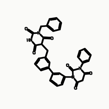 O=C1NC(=O)N(Cc2ccccc2)C(=O)C1Cc1cccc(-c2cccc(N3C(=O)CC(=O)N(c4ccccc4)C3=O)c2)c1